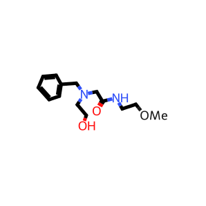 COCCNC(=O)CN(CCO)Cc1ccccc1